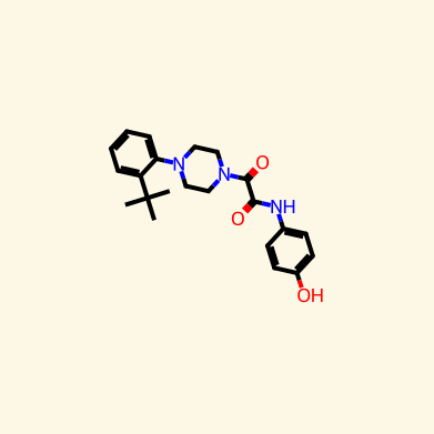 CC(C)(C)c1ccccc1N1CCN(C(=O)C(=O)Nc2ccc(O)cc2)CC1